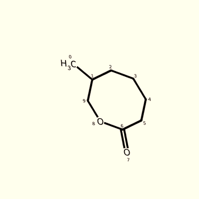 CC1CCCCC(=O)OC1